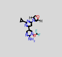 NC1N=CC(c2cc(N3C[C@@H]4C[C@H]3CO4)nc(C3CC3)n2)=CN1OC(F)F